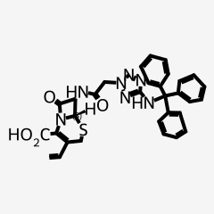 C=CC1=C(C(=O)O)N2C(=O)C(NC(=O)Cn3nnc(NC(c4ccccc4)(c4ccccc4)c4ccccc4)n3)[C@@H]2SC1